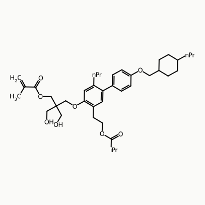 C=C(C)C(=O)OCC(CO)(CO)COc1cc(CCC)c(-c2ccc(OCC3CCC(CCC)CC3)cc2)cc1CCOC(=O)C(C)C